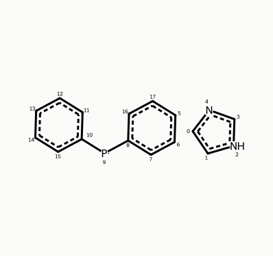 c1c[nH]cn1.c1ccc([P]c2ccccc2)cc1